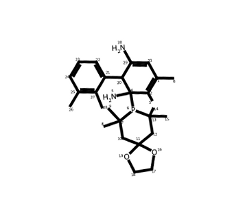 CC1=C(C)C(N)(P2C(C)(C)CC3(CC2(C)C)OCCO3)C(c2cccc(C)c2C)C(N)=C1